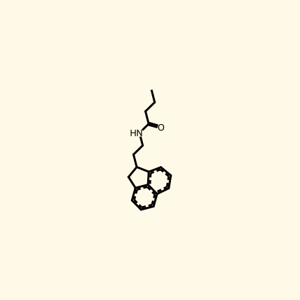 CCCC(=O)NCCC1Cc2cccc3cccc1c23